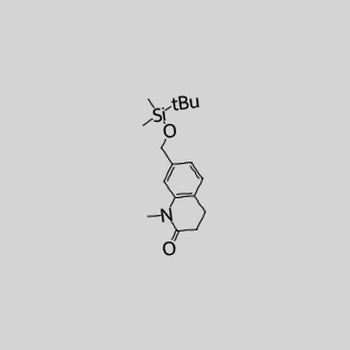 CN1C(=O)CCc2ccc(CO[Si](C)(C)C(C)(C)C)cc21